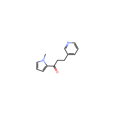 Cn1cccc1C(=O)CCc1cccnc1